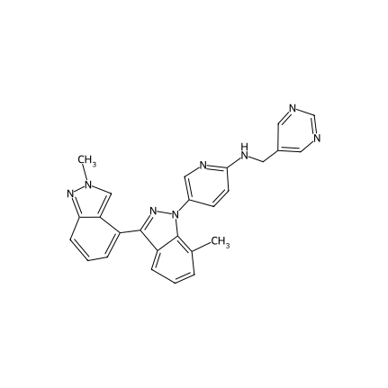 Cc1cccc2c(-c3cccc4nn(C)cc34)nn(-c3ccc(NCc4cncnc4)nc3)c12